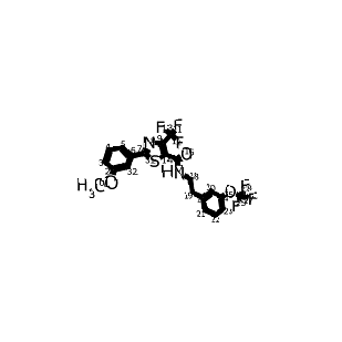 COc1cccc(-c2nc(C(F)(F)F)c(C(=O)NCCc3cccc(OC(F)(F)F)c3)s2)c1